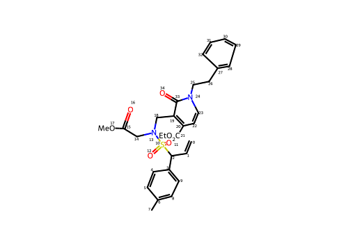 C=CC(c1ccc(C)cc1)S(=O)(=O)N(CC(=O)OC)Cc1c(C(=O)OCC)ccn(CCc2ccccc2)c1=O